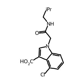 CC(C)CNC(=O)Cn1cc(C(=O)O)c2c(Cl)cccc21